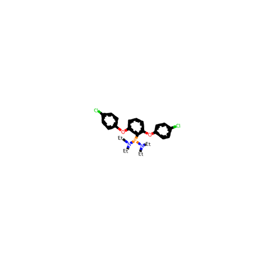 CCN(CC)P(c1c(Oc2ccc(Cl)cc2)cccc1Oc1ccc(Cl)cc1)N(CC)CC